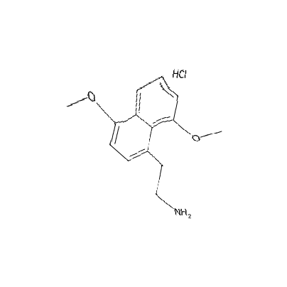 COc1ccc(CCN)c2c(OC)cccc12.Cl